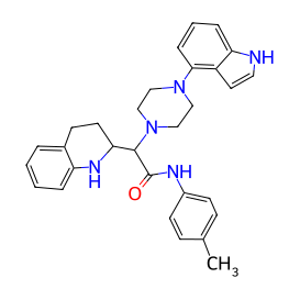 Cc1ccc(NC(=O)C(C2CCc3ccccc3N2)N2CCN(c3cccc4[nH]ccc34)CC2)cc1